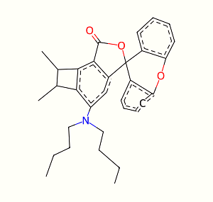 CCCCN(CCCC)c1cc2c(c3c1C(C)C3C)C(=O)OC21c2ccccc2Oc2ccccc21